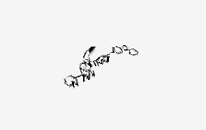 O=C(c1cc(-c2ccc(Oc3ccccc3)cc2)n[nH]1)N1CCn2c(nnc2-c2ccccn2)C1